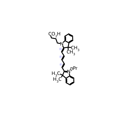 CCC[N+]1=C(/C=C/C=C/C=C2/N(CCCC(=O)O)c3ccccc3C2(C)C)C(C)(C)c2ccccc21